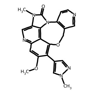 COc1cc2ncc3c4c2c(c1-c1cnn(C)c1)OCc1cnccc1-n4c(=O)n3C